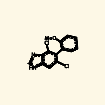 COc1ccccc1-c1c(Cl)cc2[nH][c]nc2c1Cl